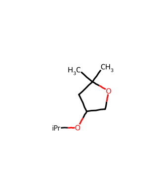 CC(C)OC1COC(C)(C)C1